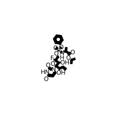 C=C[C@H](O)[C@@]1(n2ccc(=O)[nH]c2=O)O[C@](F)(COP(=O)(NC(C)C(=O)OC(C)C)Oc2ccccc2)[C@H]1O